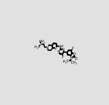 CC(C)n1c(=O)oc2c(F)cc(-c3nc(Nc4ccc5c(n4)CCN(CCN(C)C)C5)ncc3F)cc21